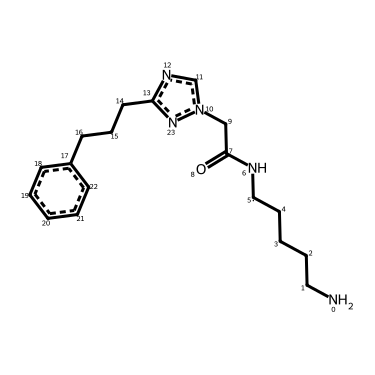 NCCCC[CH]NC(=O)Cn1cnc(CCCc2ccccc2)n1